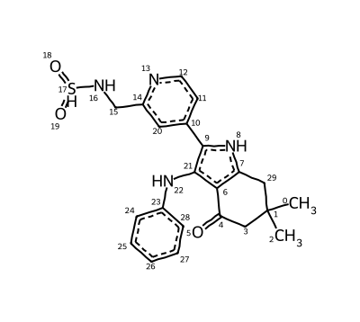 CC1(C)CC(=O)c2c([nH]c(-c3ccnc(CN[SH](=O)=O)c3)c2Nc2ccccc2)C1